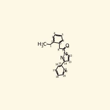 CCc1ccccc1CC(=O)n1ccc(-c2ccccn2)n1